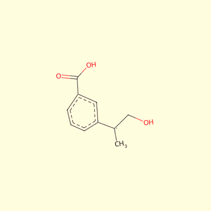 C[C](CO)c1cccc(C(=O)O)c1